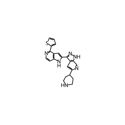 c1csc(-c2nccc3[nH]c(-c4n[nH]c5cnc(C6CCNCC6)cc45)cc23)c1